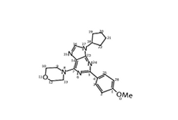 COc1ccc(-c2nc(N3CCOCC3)c3ncn(C4CCCC4)c3n2)cc1